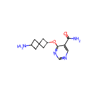 NC(=O)c1cncnc1OC1CC2(CC(N)C2)C1